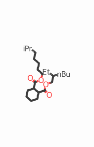 CCCCC(CC)COC(=O)C1CCCCC1C(=O)OCCCCCC(C)C